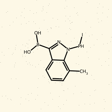 Cc1cccc2c(B(O)O)nn(PI)c12